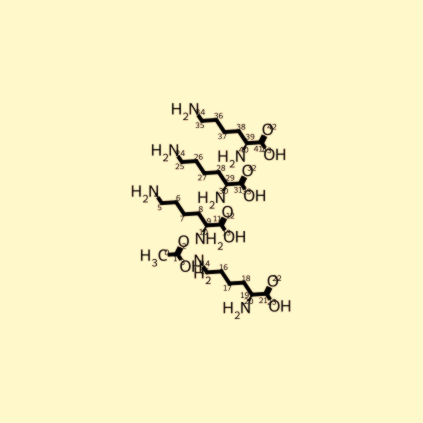 CC(=O)O.NCCCC[C@H](N)C(=O)O.NCCCC[C@H](N)C(=O)O.NCCCC[C@H](N)C(=O)O.NCCCC[C@H](N)C(=O)O